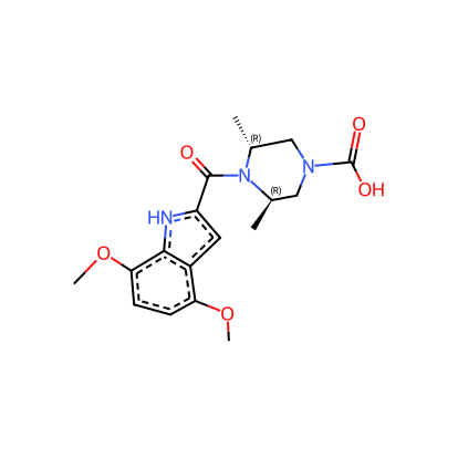 COc1ccc(OC)c2[nH]c(C(=O)N3[C@H](C)CN(C(=O)O)C[C@H]3C)cc12